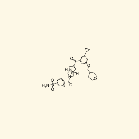 NS(=O)(=O)c1ccc(C(=O)N2C[C@H]3CN(C(=O)c4cc(OCC5CCOCC5)cc(C5CC5)c4)C[C@@H]3C2)nc1